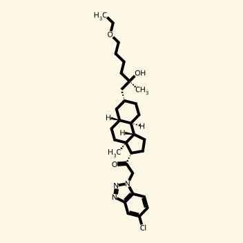 CCOCCCC[C@@](C)(O)C[C@@H]1CC[C@@H]2[C@H](CC[C@]3(C)[C@@H](C(=O)Cn4nnc5cc(Cl)ccc54)CC[C@@H]23)C1